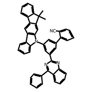 CC1(C)c2ccccc2-c2cc3c4ccccc4n(-c4cc(-c5nc(-c6ccccc6)c6ccccc6n5)cc(-c5ccccc5C#N)c4)c3cc21